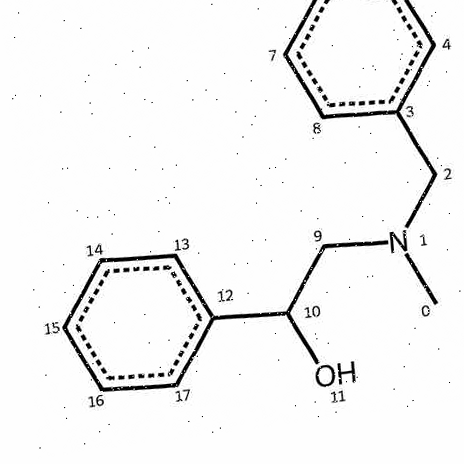 CN(Cc1ccccc1)CC(O)c1ccccc1